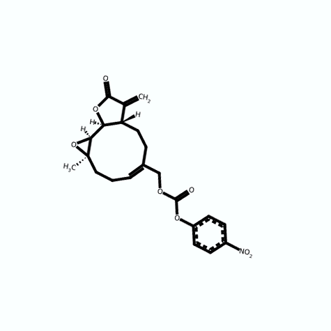 C=C1C(=O)O[C@H]2[C@H]1CC/C(COC(=O)Oc1ccc([N+](=O)[O-])cc1)=C\CC[C@@]1(C)O[C@@H]21